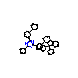 c1ccc(-c2cccc(-c3nc(-c4ccccc4)nc(-c4cccc(-c5cccc6c5C(c5ccccc5)(c5ccccc5)c5ccccc5-6)c4)n3)c2)cc1